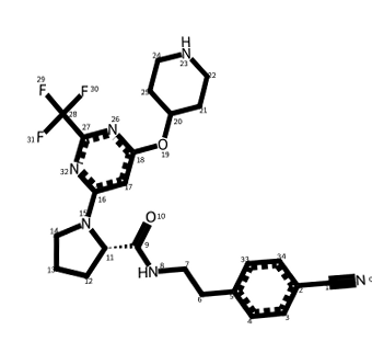 N#Cc1ccc(CCNC(=O)[C@@H]2CCCN2c2cc(OC3CCNCC3)nc(C(F)(F)F)n2)cc1